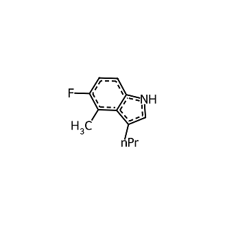 CCCc1c[nH]c2ccc(F)c(C)c12